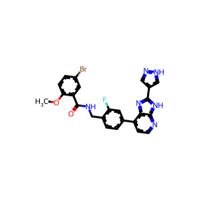 COc1ccc(Br)cc1C(=O)NCc1ccc(-c2ccnc3[nH]c(-c4cn[nH]c4)nc23)cc1F